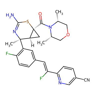 C[C@@H]1COC[C@H](C)N1C(=O)[C@]12C[C@H]1[C@@](C)(c1cc(/C=C(\F)c3ccc(C#N)cn3)ccc1F)N=C(N)S2